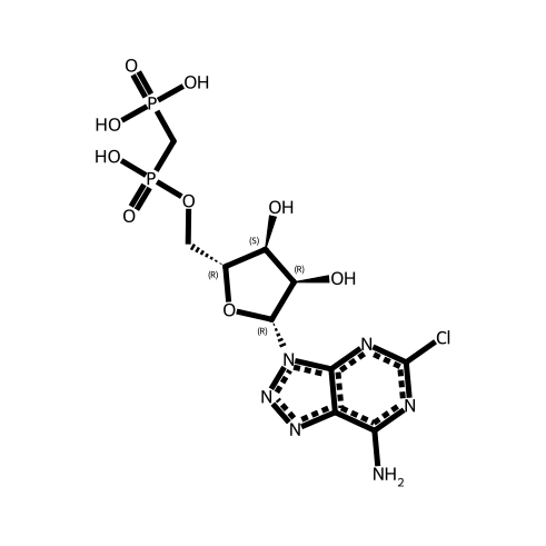 Nc1nc(Cl)nc2c1nnn2[C@@H]1O[C@H](COP(=O)(O)CP(=O)(O)O)[C@@H](O)[C@H]1O